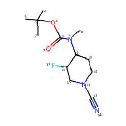 CN(C(=O)OC(C)(C)C)C1CCN(C#N)CC1F